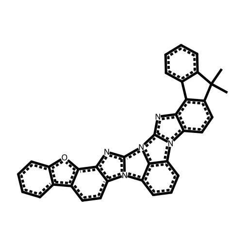 CC1(C)c2ccccc2-c2c1ccc1c2nc2n1c1cccc3c1n2c1nc2c4oc5ccccc5c4ccc2n31